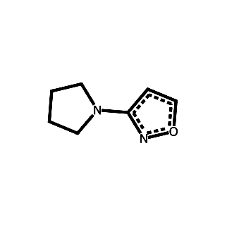 c1cc(N2CCCC2)no1